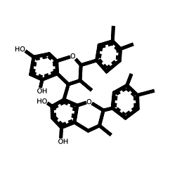 Cc1ccc(C2Oc3c(c(O)cc(O)c3C3c4c(O)cc(O)cc4OC(c4ccc(C)c(C)c4)C3C)CC2C)cc1C